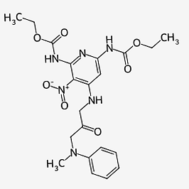 CCOC(=O)Nc1cc(NCC(=O)CN(C)c2ccccc2)c([N+](=O)[O-])c(NC(=O)OCC)n1